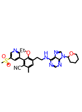 CCOc1c(CCNc2ncnc3c2ncn3C2CCCCO2)cc(C)c(C#N)c1-c1cncc(S(C)(=O)=O)c1